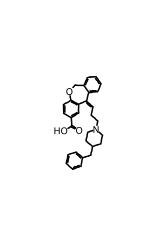 O=C(O)c1ccc2c(c1)C(=CCCN1CCC(Cc3ccccc3)CC1)c1ccccc1CO2